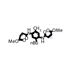 CCCCc1cc(NC(=O)/C=C\C(=O)OC)c(C)cc1NC(=O)/C=C\C(=O)OC